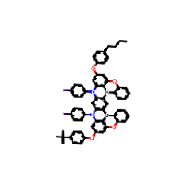 CCCCc1ccc(Oc2cc3c4c(c2)N(c2ccc(I)cc2)c2cc5c(cc2B4c2ccccc2O3)B2c3ccccc3Oc3cc(Oc4ccc(C(C)(C)C)cc4)cc(c32)N5c2ccc(I)cc2)cc1